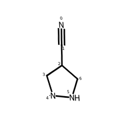 N#CC1C[N]NC1